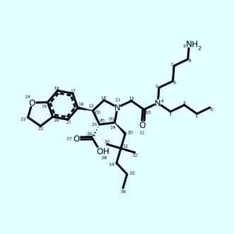 CCCCN(CCCCN)C(=O)CN1C[C@H](c2ccc3c(c2)CCO3)[C@@H](C(=O)O)[C@@H]1CC(C)(C)CCC